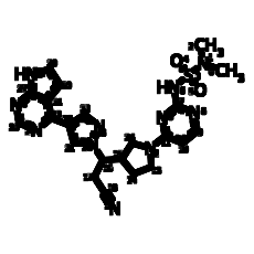 CN(C)S(=O)(=O)Nc1nccc(N2CCC(C(CC#N)n3cc(-c4ncnc5[nH]ccc45)cn3)C2)n1